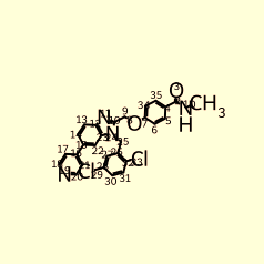 CNC(=O)c1ccc(OCc2nc3ccc(-c4ccncc4)cc3n2Cc2cc(Cl)ccc2Cl)cc1